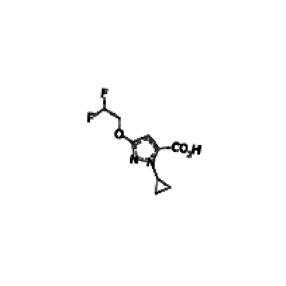 O=C(O)c1cc(OCC(F)F)nn1C1CC1